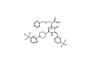 O=C(NC(CSCc1ccccc1)C(=O)O)C(=Cc1cccc(C(F)(F)F)c1)NC(=O)C1CCN(c2nccc(C(F)(F)F)n2)CC1